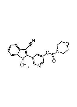 Cn1c(-c2cncc(OS(=O)N3CCOCC3)c2)c(C#N)c2ccccc21